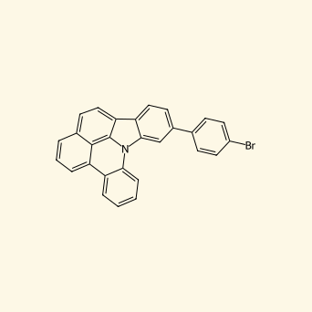 Brc1ccc(-c2ccc3c4ccc5cccc6c7ccccc7n(c3c2)c4c56)cc1